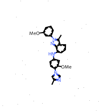 COc1cccc(-n2nc3c(Nc4ccc(-n5cnc(C)c5)c(OC)c4)cccc3c2C)c1